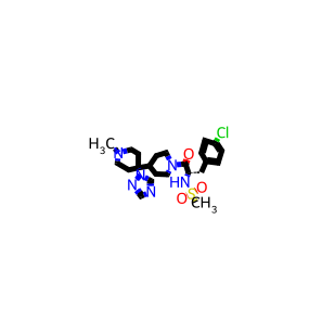 CN1CCC(C2CCN(C(=O)[C@H](Cc3ccc(Cl)cc3)NS(C)(=O)=O)CC2)(n2cncn2)CC1